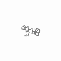 CCCCOc1nc2nonc2nc1NC(=O)C12CC3CC(CC(C3)C1)C2